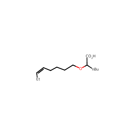 CC/C=C\CCCCOC(CCCC)C(=O)O